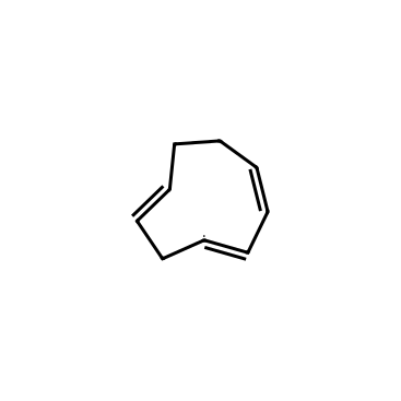 [C]1=C/C=C\CC/C=C/C/1